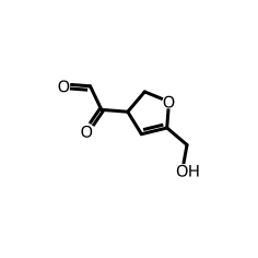 O=CC(=O)C1C=C(CO)OC1